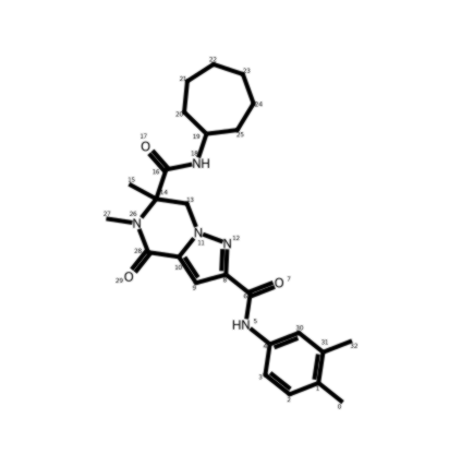 Cc1ccc(NC(=O)c2cc3n(n2)CC(C)(C(=O)NC2CCCCCC2)N(C)C3=O)cc1C